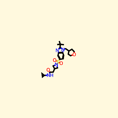 CC(C)(C)c1nc2cc(S(=O)(=O)N3CC(CC(=O)NC4CC4)C3)ccc2n1CC1CCOCC1